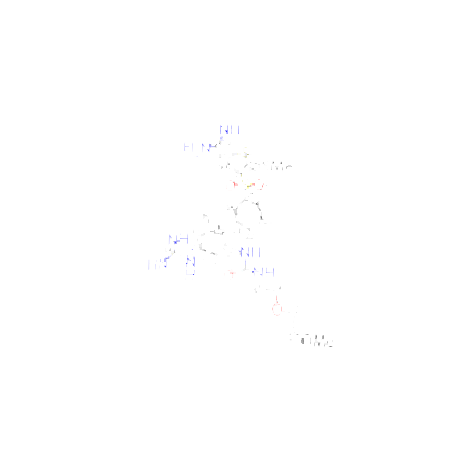 COCCOCCNC(=O)Nc1cc(NC(=N)N)cc(C)c1-c1cccc(S(=O)(=O)c2cc(C(=N)N)sc2SC)c1